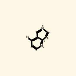 Ic1ccnc2ccncc12